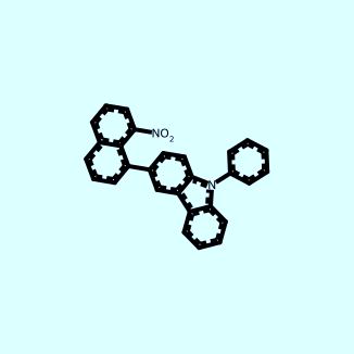 O=[N+]([O-])c1cccc2cccc(-c3ccc4c(c3)c3ccccc3n4-c3ccccc3)c12